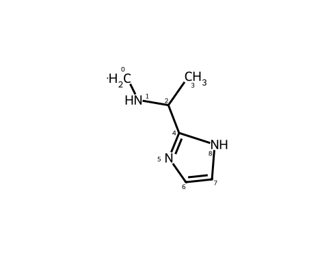 [CH2]NC(C)c1ncc[nH]1